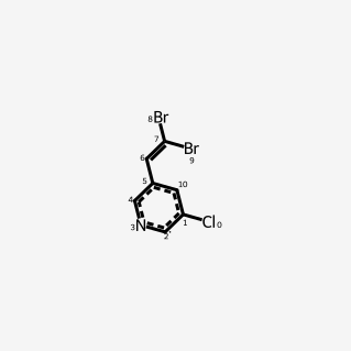 Clc1[c]ncc(C=C(Br)Br)c1